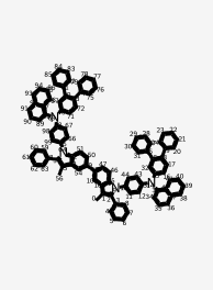 Cc1c(-c2ccccc2)n(-c2ccc(N(c3ccc(-c4ccccc4)c(-c4ccccc4)c3)c3cccc4ccccc34)cc2)c2ccc(-c3ccc4c(c3)c(C)c(-c3ccccc3)n4-c3ccc(N(c4ccc(-c5ccccc5)c(-c5ccccc5)c4)c4cccc5ccccc45)cc3)cc12